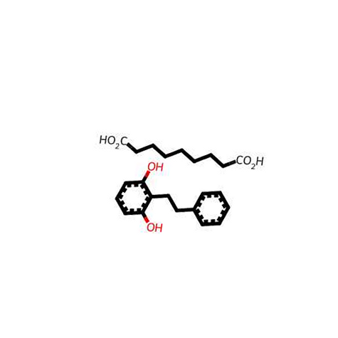 O=C(O)CCCCCCCC(=O)O.Oc1cccc(O)c1CCc1ccccc1